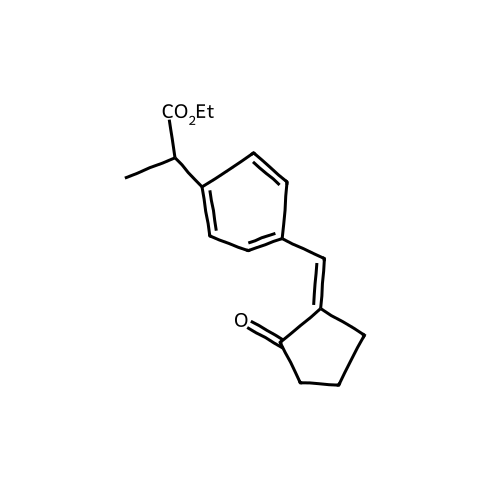 CCOC(=O)C(C)c1ccc(C=C2CCCC2=O)cc1